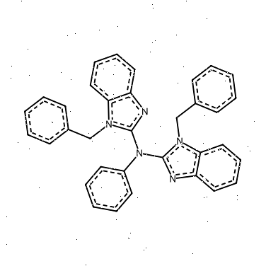 c1ccc(Cn2c(N(c3ccccc3)c3nc4ccccc4n3Cc3ccccc3)nc3ccccc32)cc1